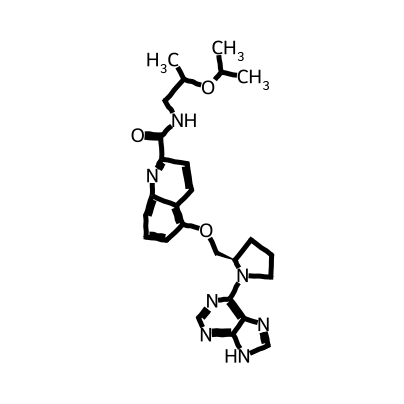 CC(C)OC(C)CNC(=O)c1ccc2c(OC[C@H]3CCCN3c3ncnc4[nH]cnc34)cccc2n1